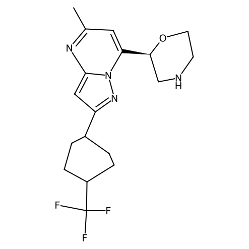 Cc1cc([C@@H]2CNCCO2)n2nc(C3CCC(C(F)(F)F)CC3)cc2n1